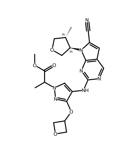 COC(=O)C(C)n1cc(Nc2ncc3cc(C#N)n([C@H]4COC[C@@H]4C)c3n2)c(OC2COC2)n1